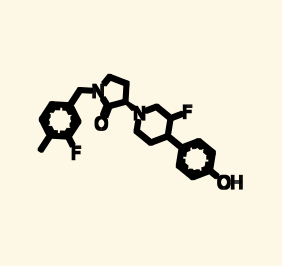 Cc1ccc(CN2CC[C@@H](N3CCC(c4ccc(O)cc4)C(F)C3)C2=O)cc1F